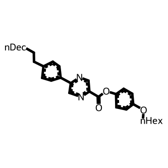 CCCCCCCCCCCCc1ccc(-c2cnc(C(=O)Oc3ccc(OCCCCCC)cc3)cn2)cc1